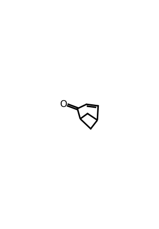 O=C1C=CC2CC1C2